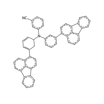 N#Cc1cccc(N(c2cccc(-c3ccc4c5c(cccc35)-c3ccccc3-4)c2)C2C=CC=C(c3ccc4c5c(cccc35)-c3ccccc3-4)C2)c1